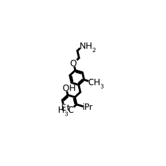 CC/C=C(O)\C(Cc1ccc(OCCN)cc1C)=C(/C)C(C)C